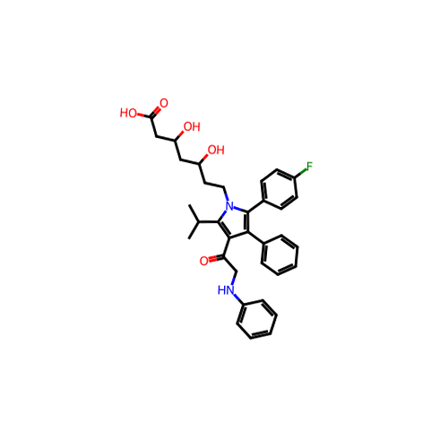 CC(C)c1c(C(=O)CNc2ccccc2)c(-c2ccccc2)c(-c2ccc(F)cc2)n1CCC(O)CC(O)CC(=O)O